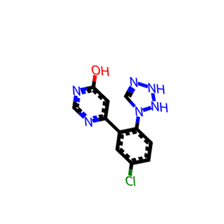 Oc1cc(-c2cc(Cl)ccc2N2C=NNN2)ncn1